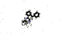 C=CC(=C)/N=C\C(=C/C)N=C(c1ccccc1)c1ccccc1